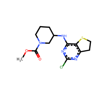 COC(=O)N1CCCC(Nc2nc(Cl)nc3c2SCC3)C1